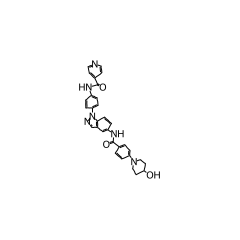 O=C(Nc1ccc(-n2ncc3cc(NC(=O)c4ccc(N5CCC(O)CC5)cc4)ccc32)cc1)c1ccncc1